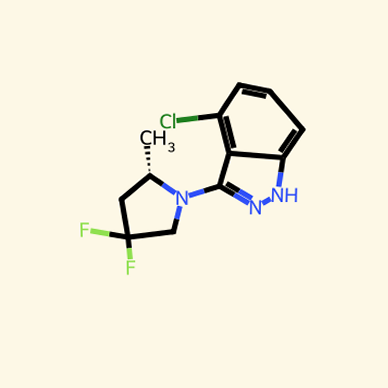 C[C@H]1CC(F)(F)CN1c1n[nH]c2cccc(Cl)c12